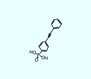 O=P(O)(O)c1ccc(C#Cc2cc[c]cc2)cc1